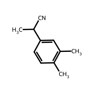 Cc1ccc(C(C)C#N)cc1C